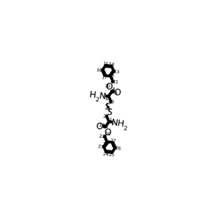 NC(CSSCC(N)C(=O)OCc1ccccc1)C(=O)OCc1ccccc1